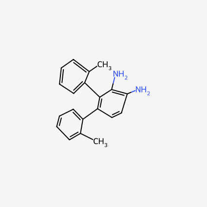 Cc1ccccc1-c1ccc(N)c(N)c1-c1ccccc1C